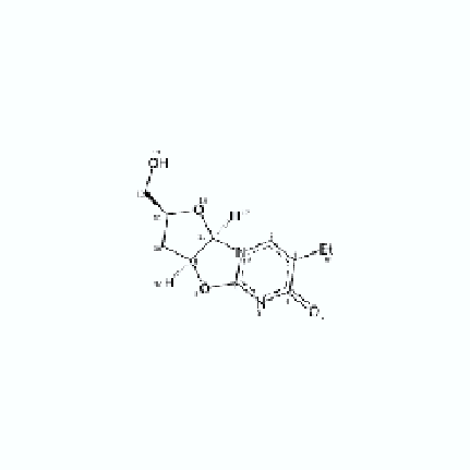 CCc1cn2c(nc1=O)O[C@H]1C[C@@H](CO)O[C@H]12